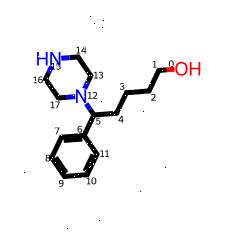 OCCCCC(c1ccccc1)N1CCNCC1